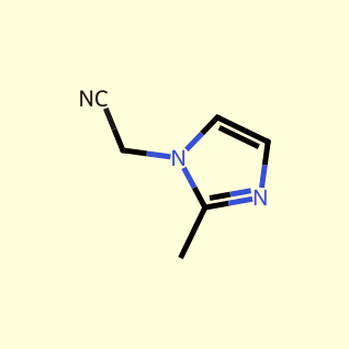 Cc1nccn1CC#N